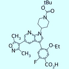 CCOc1cc(C(=O)O)c(F)cc1-c1cn(C2CCN(C(=O)OC(C)(C)C)CC2)c2ncc(-c3c(C)noc3C)cc12